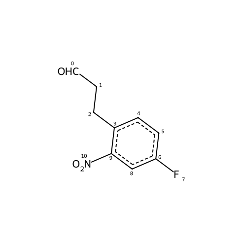 O=CCCc1ccc(F)cc1[N+](=O)[O-]